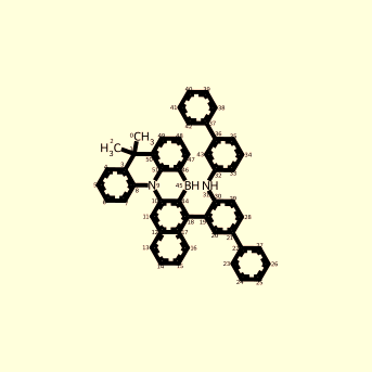 CC1(C)c2ccccc2N2c3cc4ccccc4c(-c4cc(-c5ccccc5)ccc4Nc4cccc(-c5ccccc5)c4)c3Bc3cccc1c32